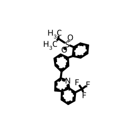 CC(C)S(=O)(=O)c1ccccc1-c1cccc(-c2ccc3cccc(C(F)(F)F)c3n2)c1